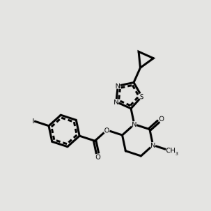 CN1CCC(OC(=O)c2ccc(I)cc2)N(c2nnc(C3CC3)s2)C1=O